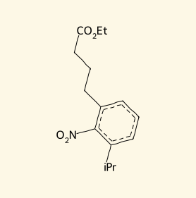 CCOC(=O)CCCc1cccc(C(C)C)c1[N+](=O)[O-]